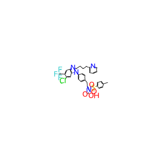 Cc1ccc(S(=O)(=O)N(CCc2ccc(-n3c(CCCc4ccccn4)nc4cc(C(F)(F)F)c(Cl)cc43)cc2)C(=O)O)cc1